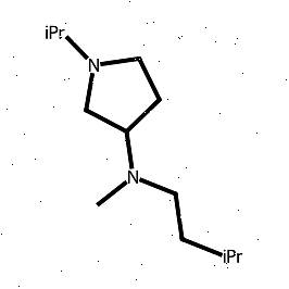 CC(C)CCN(C)C1CCN(C(C)C)C1